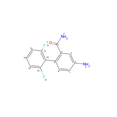 NC(=O)c1cc(N)ccc1-c1c(F)cccc1F